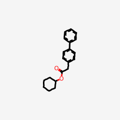 O=C(Cc1ccc(-c2ccccc2)cc1)OC1CCCCC1